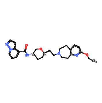 O=C(N[C@H]1CC[C@H](CCN2CCc3ccc(OCC(F)(F)F)nc3CC2)OC1)c1cccn2nccc12